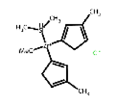 C[O][Zr+]([C]1=CC(C)=CC1)([C]1=CC(C)=CC1)[SiH](C)C.[Cl-]